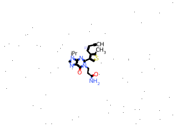 C#C/C=C\c1c(-c2nc3c(ncn3C(C)C)c(=O)n2CCC(N)=O)csc1C